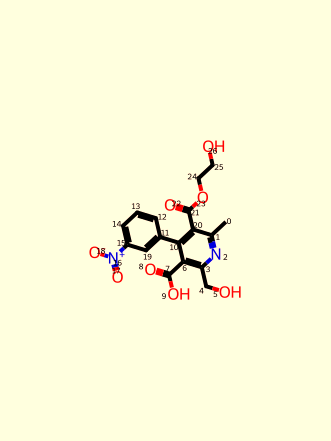 Cc1nc(CO)c(C(=O)O)c(-c2cccc([N+](=O)[O-])c2)c1C(=O)OCCO